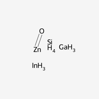 [GaH3].[InH3].[O]=[Zn].[SiH4]